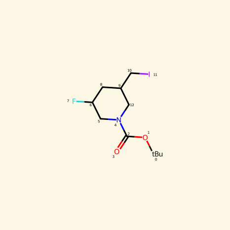 CC(C)(C)OC(=O)N1CC(F)CC(CI)C1